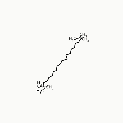 C[N+](C)(C)CCCCCCCCCCCCCCCC[N+](C)(C)C